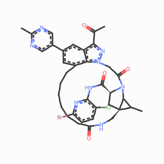 CC(=O)c1nn2c3c(cc(-c4cnc(C)nc4)cc13)CCCCCCC(=O)NC[C@@]13C[C@@H](C(=O)Nc4nc(Br)ccc4Cl)N(C(=O)C2)C1C3C